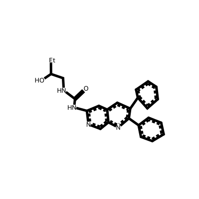 CCC(O)CNC(=O)Nc1cc2cc(-c3ccccc3)c(-c3ccccc3)nc2cn1